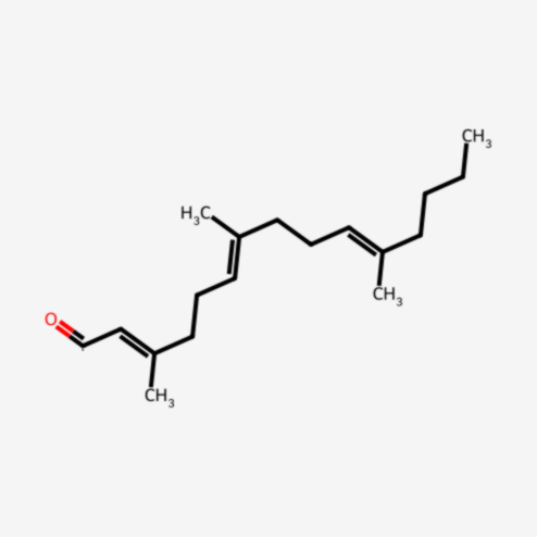 CCCCC(C)=CCCC(C)=CCCC(C)=C[C]=O